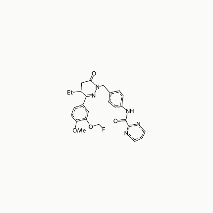 CCC1CC(=O)N(Cc2ccc(NC(=O)c3ncccn3)cc2)N=C1c1ccc(OC)c(OCF)c1